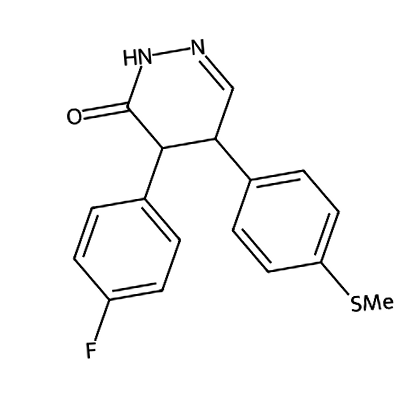 CSc1ccc(C2C=NNC(=O)C2c2ccc(F)cc2)cc1